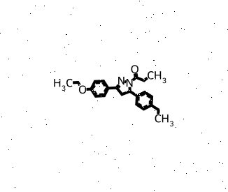 CCOc1ccc(C2=NN(C(=O)CC)C(c3ccc(CC)cc3)C2)cc1